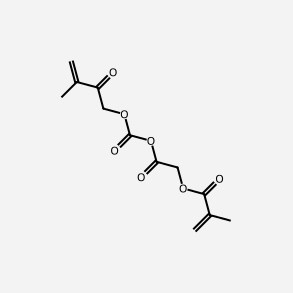 C=C(C)C(=O)COC(=O)OC(=O)COC(=O)C(=C)C